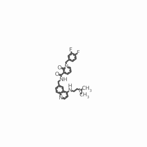 CN(C)CCNc1ccnc2ccc(CNC(=O)c3cccn(Cc4ccc(F)c(F)c4)c3=O)cc12